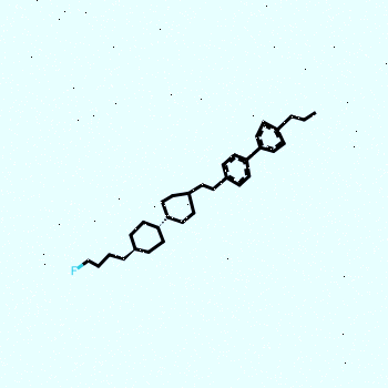 CCCc1ccc(-c2ccc(CCC3CCC([C@H]4CC[C@H](CCCCF)CC4)CC3)cc2)cc1